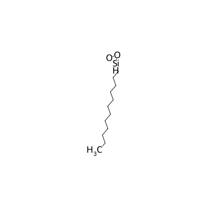 CCCCCCCCCCCC[SiH]1OO1